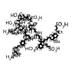 CCN(CCCS(=O)(=O)O)c1ccc2c(C(C)(C)C)cc(/C=C/C=C3\N(CCCS(=O)(=O)O)c4ccc(S(=O)(=O)O)cc4C3(C)CCCC(=O)NCCN3C(=O)CC(SCC(NC(=O)C(CC(=O)O)NC(=O)C(CC(=O)O)NC(=O)C(CCCNC(=N)N)NC(=O)C(CC(=O)O)NC(=O)CCC(NC(=O)c4ccc(NCc5cnc6nc(N)[nH]c(=O)c6n5)cc4)C(=O)O)C(=O)O)C3=O)[o+]c2c1